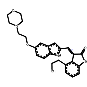 O=C1Nc2cccc(CCO)c2/C1=C\c1cc2cc(OCCN3CCOCC3)ccc2[nH]1